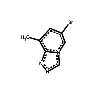 Cc1cc(Br)cn2cnnc12